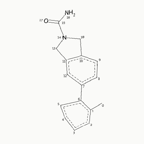 Cc1ccccc1-c1ccc2c(c1)CN(C(N)=O)C2